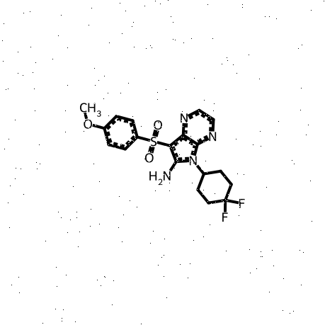 COc1ccc(S(=O)(=O)c2c(N)n(C3CCC(F)(F)CC3)c3nccnc23)cc1